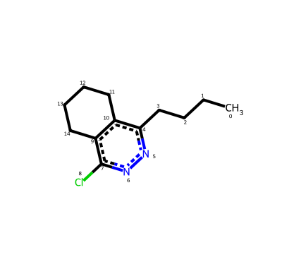 CCCCc1nnc(Cl)c2c1CCCC2